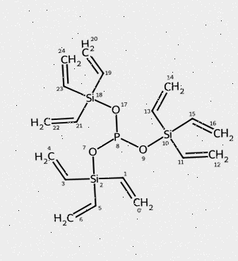 C=C[Si](C=C)(C=C)OP(O[Si](C=C)(C=C)C=C)O[Si](C=C)(C=C)C=C